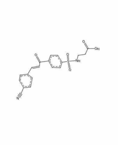 N#Cc1ccc(/C=C/C(=O)c2ccc(S(=O)(=O)NCCC(=O)O)cc2)cc1